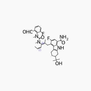 C/C=C\C(=C(\C)Cc1c(F)cc(C(N)=O)c2[nH]c3c(c12)CCC(C(C)(C)O)C3)N(C)C(=O)N(C)c1c(F)cccc1C=O